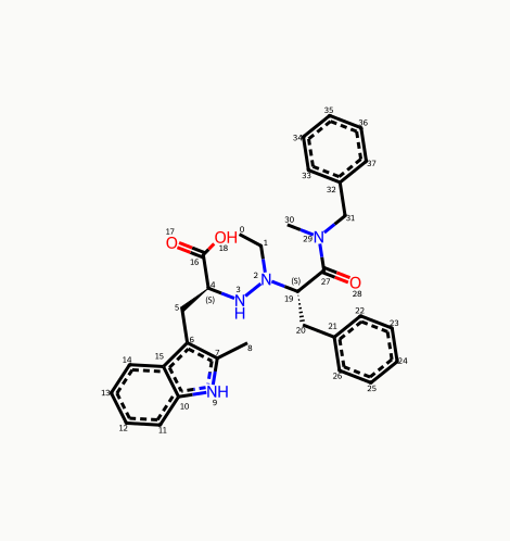 CCN(N[C@@H](Cc1c(C)[nH]c2ccccc12)C(=O)O)[C@@H](Cc1ccccc1)C(=O)N(C)Cc1ccccc1